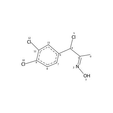 CC(=NO)C(Cl)c1ccc(Cl)c(Cl)c1